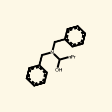 CCCC(O)N(Cc1ccccc1)Cc1ccccc1